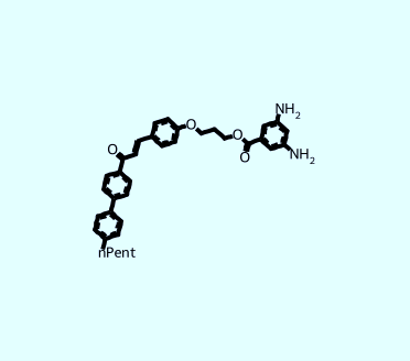 CCCCCc1ccc(-c2ccc(C(=O)C=Cc3ccc(OCCCOC(=O)c4cc(N)cc(N)c4)cc3)cc2)cc1